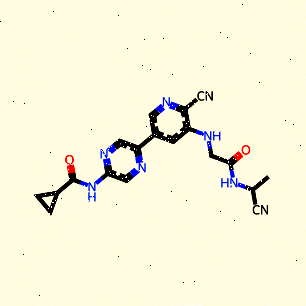 CC(C#N)NC(=O)CNc1cc(-c2cnc(NC(=O)C3CC3)cn2)cnc1C#N